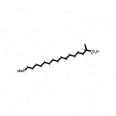 CCCCCCCCCCCCCCCCCCCCCCCCC(C)C(=O)O